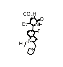 CCc1cc(C(=O)O)c(=O)[nH]c1-c1ccc2c(cc(CN3CCCC3)n2C)c1F